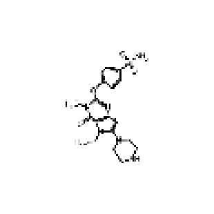 CCn1c(N2CCNCC2)nc2nc(Oc3ccc(S(N)(=O)=O)cc3)n(C)c(=O)c21